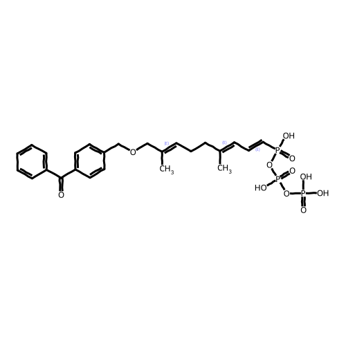 C/C(=C\C=C\P(=O)(O)OP(=O)(O)OP(=O)(O)O)CC/C=C(\C)COCc1ccc(C(=O)c2ccccc2)cc1